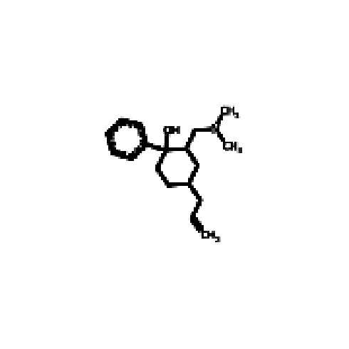 C=CCC1CCC(O)(c2ccccc2)C(CN(C)C)C1